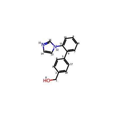 OCc1ccc(-c2ccccc2-n2ccnc2)cc1